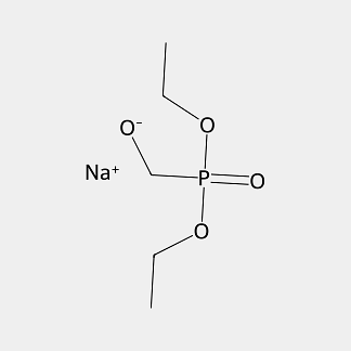 CCOP(=O)(C[O-])OCC.[Na+]